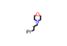 CC(C)C[CH]CN1CCOCC1